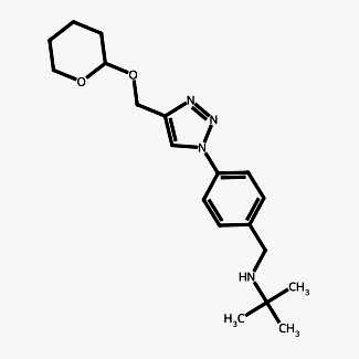 CC(C)(C)NCc1ccc(-n2cc(COC3CCCCO3)nn2)cc1